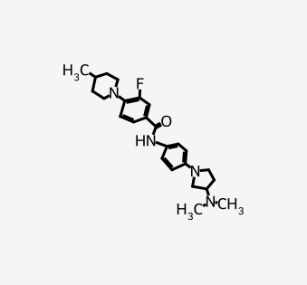 CC1CCN(c2ccc(C(=O)Nc3ccc(N4CCC(N(C)C)C4)cc3)cc2F)CC1